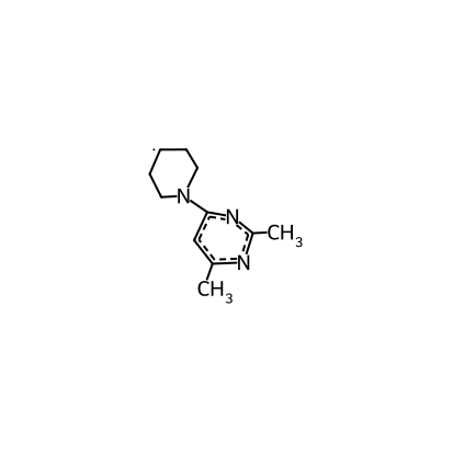 Cc1cc(N2CC[CH]CC2)nc(C)n1